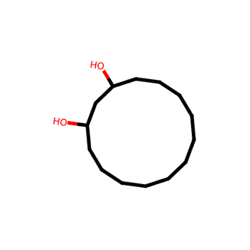 OC1CCCCCCCCCCCC(O)C1